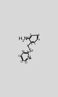 Nc1ccccc1CSc1ccccn1